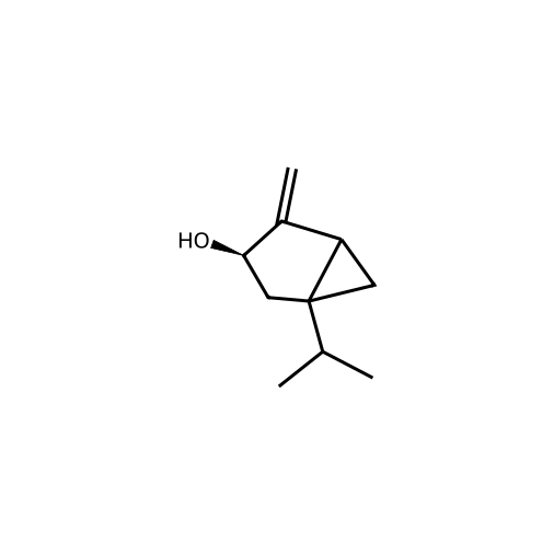 C=C1C2CC2(C(C)C)C[C@H]1O